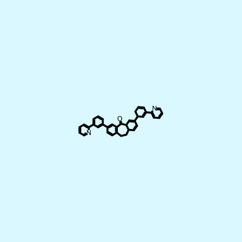 O=C1c2cc(-c3cccc(-c4ccccn4)c3)ccc2CCC2C=CC(C3C=C(c4ccccn4)C=CC3)=CC12